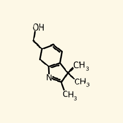 CC1=NC2=C(C=CC(CO)C2)C1(C)C